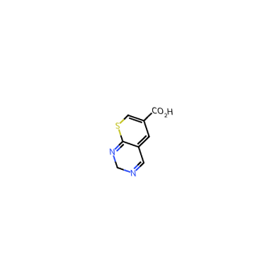 O=C(O)C1=CSC2=NCN=CC2=C1